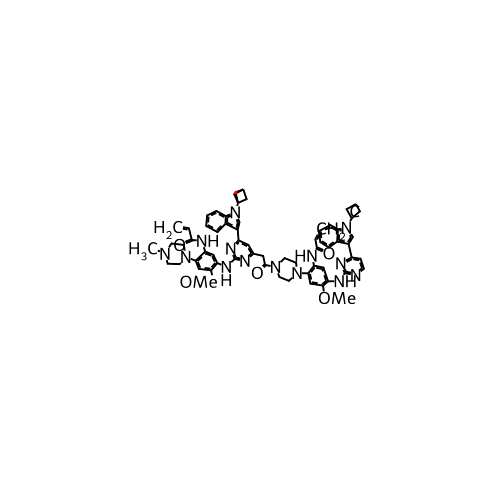 C=CC(=O)Nc1cc(Nc2nc(CC(=O)N3CCN(c4cc(OC)c(Nc5nccc(-c6cn(C78CC(C7)C8)c7ccccc67)n5)cc4NC(=O)C=C)CC3)cc(-c3cn(C45CC(C4)C5)c4ccccc34)n2)c(OC)cc1N1CCN(C)CC1